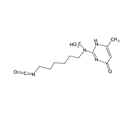 Cc1cc(=O)nc(N(CCCCCCN=C=O)C(=O)O)[nH]1